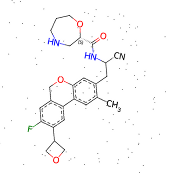 Cc1cc2c(cc1CC(C#N)NC(=O)[C@@H]1CNCCCO1)OCc1cc(F)c(C3COC3)cc1-2